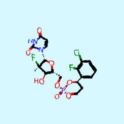 C[C@@]1(F)[C@H](O)[C@@H](CO[P@]2(=O)OCC[C@H](c3cccc(Cl)c3F)O2)O[C@H]1n1ccc(=O)[nH]c1=O